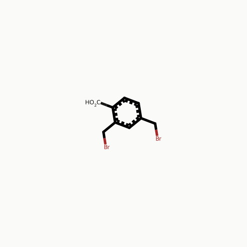 O=C(O)c1ccc(CBr)cc1CBr